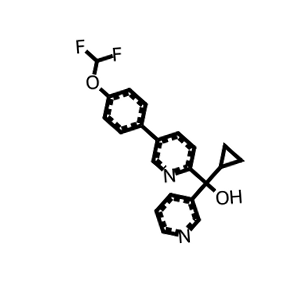 OC(c1cccnc1)(c1ccc(-c2ccc(OC(F)F)cc2)cn1)C1CC1